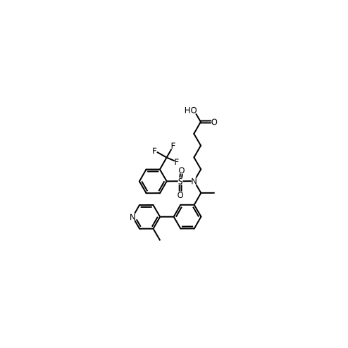 Cc1cnccc1-c1cccc(C(C)N(CCCCC(=O)O)S(=O)(=O)c2ccccc2C(F)(F)F)c1